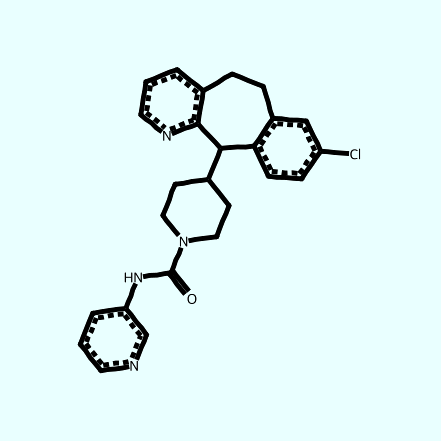 O=C(Nc1cccnc1)N1CCC(C2c3ccc(Cl)cc3CCc3cccnc32)CC1